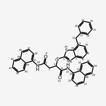 O=C(CC(Sc1nc2cccc(Cc3ccccc3)c2s1)C(=O)Nc1cccc2ccccc12)Nc1cccc2ccccc12